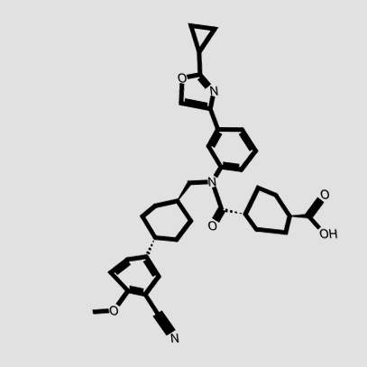 COc1ccc([C@H]2CC[C@H](CN(c3cccc(-c4coc(C5CC5)n4)c3)C(=O)[C@H]3CC[C@H](C(=O)O)CC3)CC2)cc1C#N